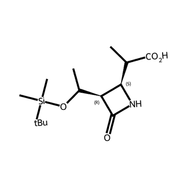 CC(C(=O)O)[C@H]1NC(=O)[C@H]1C(C)O[Si](C)(C)C(C)(C)C